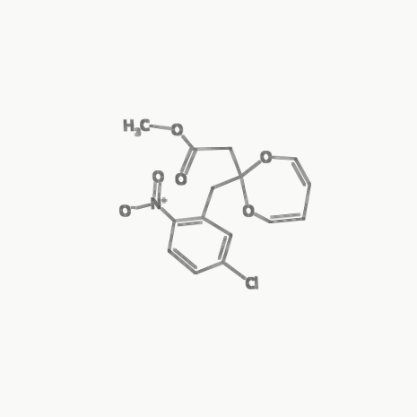 COC(=O)CC1(Cc2cc(Cl)ccc2[N+](=O)[O-])OC=CC=CO1